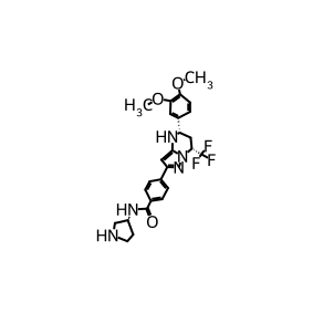 COc1ccc([C@@H]2C[C@H](C(F)(F)F)n3nc(-c4ccc(C(=O)N[C@@H]5CCNC5)cc4)cc3N2)cc1OC